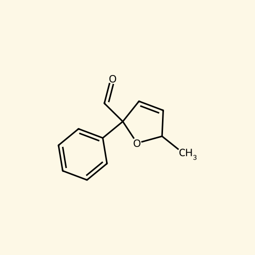 CC1C=CC(C=O)(c2ccccc2)O1